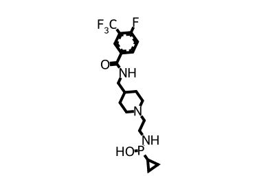 O=C(NCC1CCN(CCNP(O)C2CC2)CC1)c1ccc(F)c(C(F)(F)F)c1